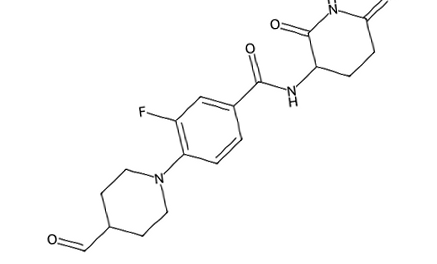 O=CC1CCN(c2ccc(C(=O)NC3CCC(=O)NC3=O)cc2F)CC1